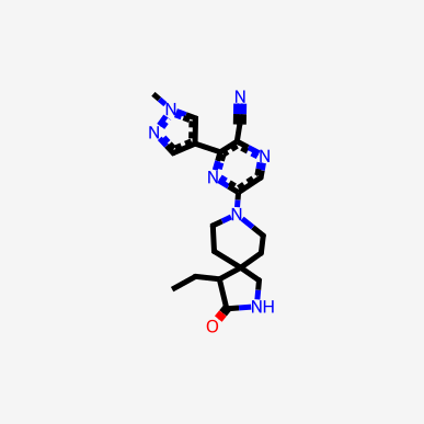 CCC1C(=O)NCC12CCN(c1cnc(C#N)c(-c3cnn(C)c3)n1)CC2